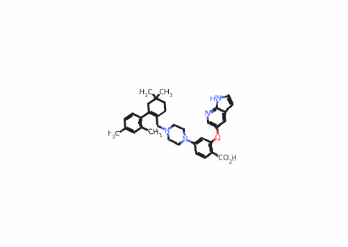 Cc1cc(C(F)(F)F)ccc1C1=C(CN2CCN(c3ccc(C(=O)O)c(Oc4cnc5[nH]ccc5c4)c3)CC2)CCC(C)(C)C1